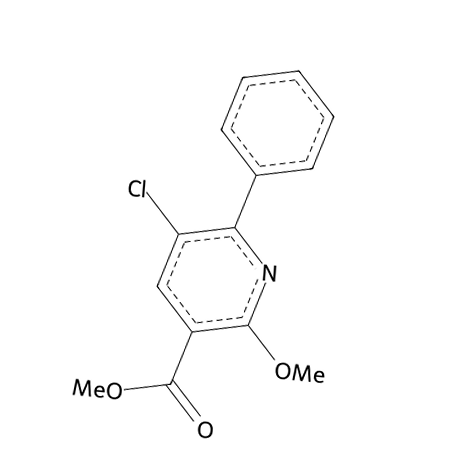 COC(=O)c1cc(Cl)c(-c2ccccc2)nc1OC